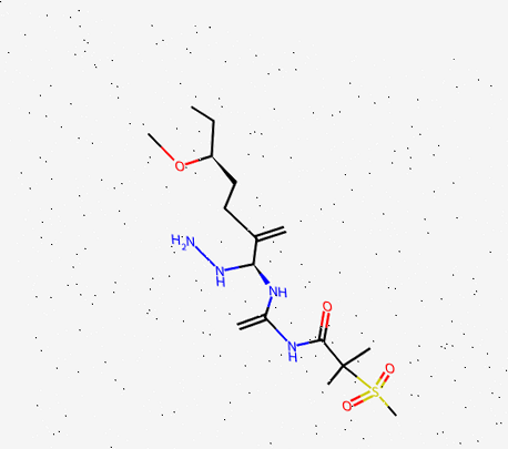 C=C(NC(=O)C(C)(C)S(C)(=O)=O)N[C@@H](NN)C(=C)CC[C@H](CC)OC